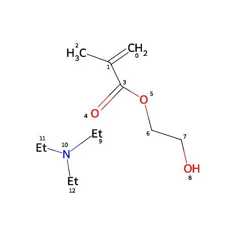 C=C(C)C(=O)OCCO.CCN(CC)CC